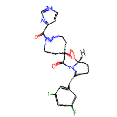 O=C(c1ccncn1)N1CCC2(CC1)O[C@@H]1CC[C@@H](c3cc(F)cc(F)c3)N1C2=O